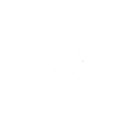 Cc1ccc(-c2cc(C(=O)N[C@@H](C)c3ccc(F)cn3)cc(C3=NO[C@H](c4ccccn4)C3)c2)nc1